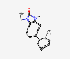 Cn1c(=O)n(CC(C)(C)C)c2ccc(-c3ccccc3C(F)(F)F)cc21